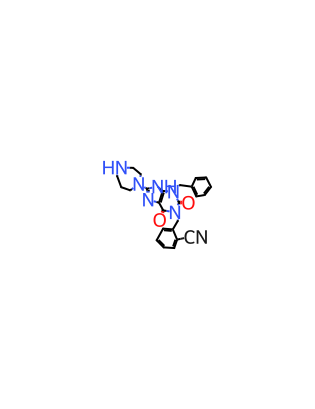 N#Cc1ccccc1Cn1c(=O)c2nc(N3CCCNCC3)[nH]c2n(Cc2ccccc2)c1=O